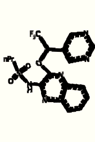 CCCS(=O)(=O)Nc1nc2ccccc2nc1OC(c1cncnc1)C(F)(F)F